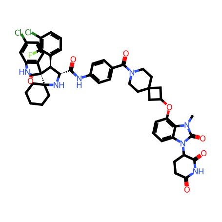 Cn1c(=O)n(C2CCC(=O)NC2=O)c2cccc(OC3CC4(CCN(C(=O)c5ccc(NC(=O)[C@@H]6NC7(CCCCC7)[C@@]7(C(=O)Nc8cc(Cl)ccc87)[C@H]6c6cccc(Cl)c6F)cc5)CC4)C3)c21